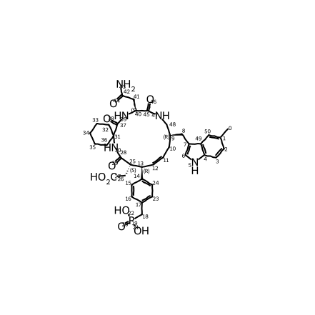 Cc1ccc2[nH]cc(C[C@H]3CC=C[C@@H](c4ccc(CP(=O)(O)O)cc4)[C@H](CC(=O)O)C(=O)NC4(CCCCC4)C(=O)N[C@@H](CC(N)=O)C(=O)NC3)c2c1